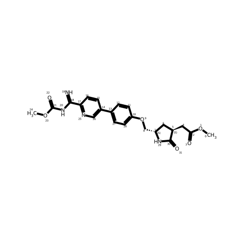 COC(=O)C[C@@H]1C[C@@H](COc2ccc(-c3ccc(C(=N)NC(=O)OC)nc3)cc2)NC1=O